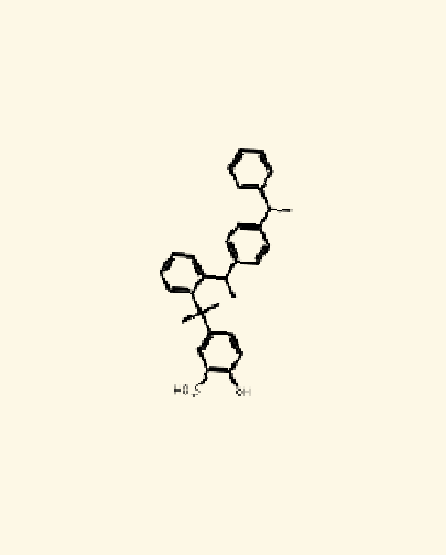 CC(c1ccccc1)c1ccc(C(C)c2ccccc2C(C)(C)c2ccc(O)c(S(=O)(=O)O)c2)cc1